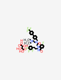 CCN(CC)CCN(Cc1ccc(-c2ccc(C(F)(F)F)cc2)cc1)C(=O)Cn1c(CCc2ccc(F)c(F)c2F)nc(=O)c2ccc(F)cc21.O=C(O)C(O)C(O)C(=O)O